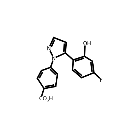 O=C(O)c1ccc(-n2nccc2-c2ccc(F)cc2O)cc1